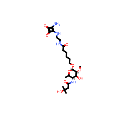 CO[C@H]1C(O)[C@H](NC(=O)CC(C)(C)O)C(C)O[C@H]1OCCCCCC(=O)NCCNc1c(N)c(=O)c1=O